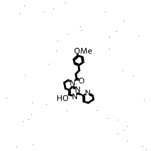 COc1ccc(CCC(=O)N2CCCc3c(O)nc(C4=CCCC=N4)nc32)cc1